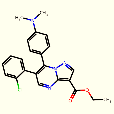 CCOC(=O)c1cnn2c(-c3ccc(N(C)C)cc3)c(-c3ccccc3Cl)cnc12